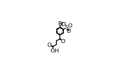 O=C(O)CCC(=O)c1ccc(Br)c(S(=O)(=O)Cl)c1